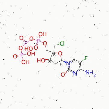 Nc1nc(=O)n([C@H]2C[C@@H](O)[C@@](CCl)(COP(=O)(O)OP(=O)(O)OP(=O)(O)O)O2)cc1F